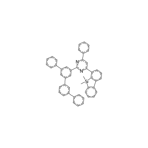 C[Si]1(C)c2ccccc2-c2cccc(-c3cc(-c4ccccc4)nc(-c4cc(-c5ccccc5)cc(-c5cccc(-c6ccccc6)c5)c4)n3)c21